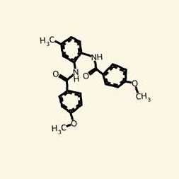 COc1ccc(C(=O)Nc2ccc(C)cc2NC(=O)c2ccc(OC)cc2)cc1